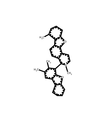 Cc1cc2c(oc3ccccc32)c(-c2c3ccc4c(oc5cccc(C)c54)c3cc[n+]2C)c1C